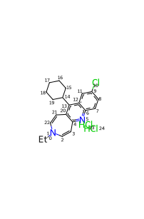 CCN1C=Cc2nc3ccc(Cl)cc3c(C3CCCCC3)c2C=C1.Cl.Cl